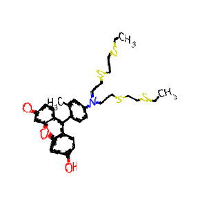 CCSCCSCCN(CCSCCSCC)c1ccc(-c2c3ccc(=O)cc-3oc3cc(O)ccc23)c(C)c1